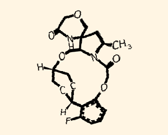 C[C@@H]1CC2(COCC(=O)N2)C2CO[C@H]3CC[C@H](CC3)c3c(F)cccc3OCC(=O)N21